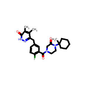 Cc1c(Cc2ccc(F)c(C(=O)N3CCN(C4(C)CCCCC4)C(=O)C3)c2)n[nH]c(=O)c1C